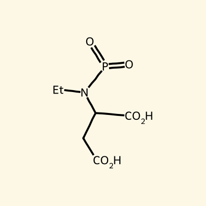 CCN(C(CC(=O)O)C(=O)O)P(=O)=O